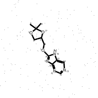 CC1(C)OCC(COc2nc3ncncc3[nH]2)O1